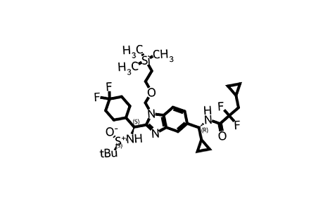 CC(C)(C)[S@@+]([O-])N[C@H](c1nc2cc([C@H](NC(=O)C(F)(F)CC3CC3)C3CC3)ccc2n1COCC[Si](C)(C)C)C1CCC(F)(F)CC1